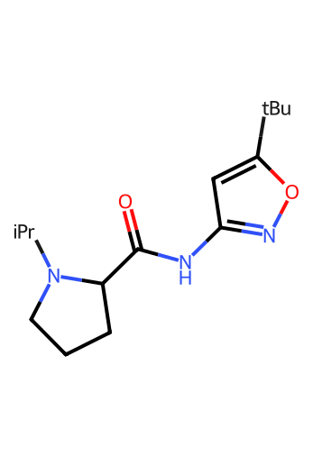 CC(C)N1CCCC1C(=O)Nc1cc(C(C)(C)C)on1